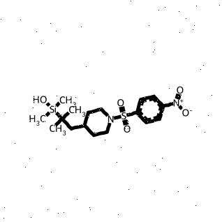 CC(C)(CC1CCN(S(=O)(=O)c2ccc([N+](=O)[O-])cc2)CC1)[Si](C)(C)O